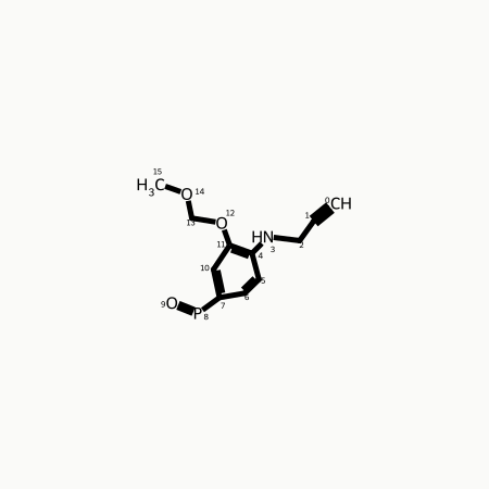 C#CCNc1ccc(P=O)cc1OCOC